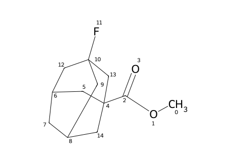 COC(=O)C12CC3CC(CC(F)(C3)C1)C2